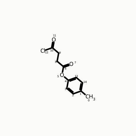 Cc1ccc(OC(=O)CCC(=O)Cl)cc1